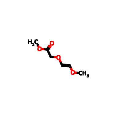 COC=COCC(=O)OC